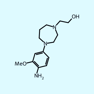 COc1cc(N2CCCN(CCO)CC2)ccc1N